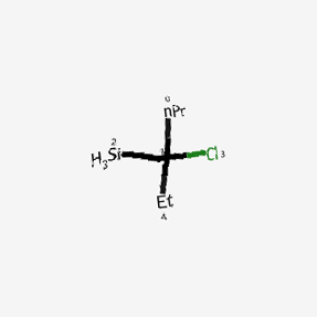 CCCC([SiH3])(Cl)CC